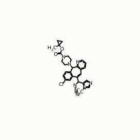 Cn1cncc1C(N=[N+]=[N-])C1=Cc2cccnc2C(N2CCN(C(=O)OC3(C)CC3)CC2)c2ccc(Cl)cc21